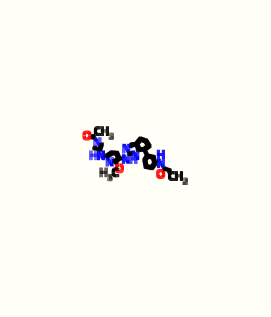 C=CC(=O)Nc1cccc(-c2cccc3cnc(Nc4ccc(NC5CN(C(C)=O)C5)nc4OC)nc23)c1